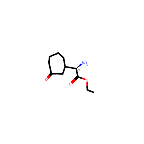 CCOC(=O)[C@H](N)C1CCCCC(=O)C1